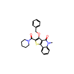 Cn1c(=O)c2c(OCc3ccccc3)c(C(=O)N3CCCCC3)sc2c2ccccc21